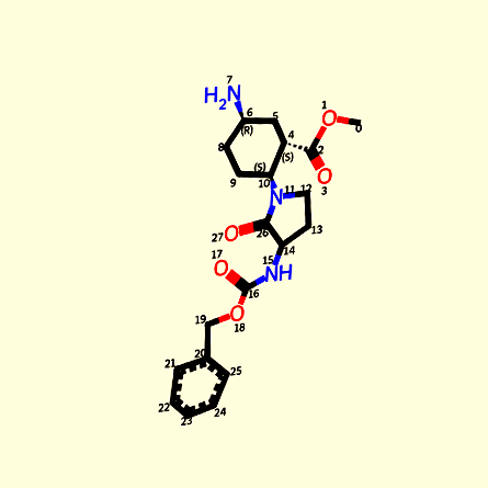 COC(=O)[C@H]1C[C@H](N)CC[C@@H]1N1CCC(NC(=O)OCc2ccccc2)C1=O